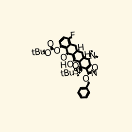 CN(C)[C@@H]1c2onc(OCc3ccccc3)c2C(=O)[C@@]2(O[Si](C)(C)C(C)(C)C)C(O)=C3C(=O)c4c(OC(=O)OC(C)(C)C)ccc(F)c4C[C@H]3C[C@@H]12